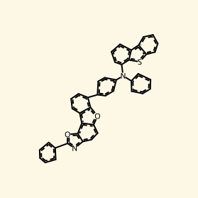 c1ccc(-c2nc3ccc4oc5c(-c6ccc(N(c7ccccc7)c7cccc8c7sc7ccccc78)cc6)cccc5c4c3o2)cc1